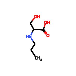 CCCNC(CO)C(=O)O